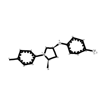 Cc1ccc(N2C[C@@H](Oc3ccc(C(F)(F)F)cc3)C[C@H]2C)cc1